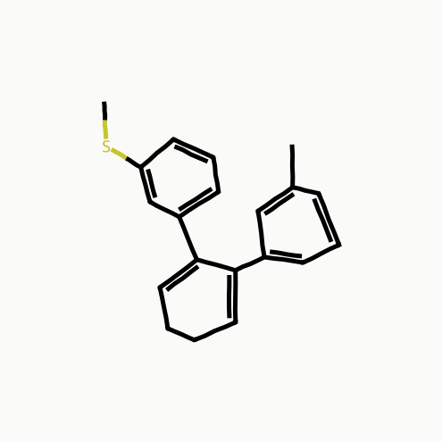 CSc1cccc(C2=CCCC=C2c2cccc(C)c2)c1